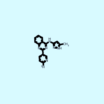 [2H]c1ccc(-c2nc(Nc3cc(C)[nH]n3)c3ccccc3n2)cn1